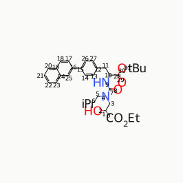 CCOC(=O)C(O)CN(CC(C)C)C(=O)NC(Cc1ccc(-c2ccc3ccccc3c2)cc1)C(=O)OC(C)(C)C